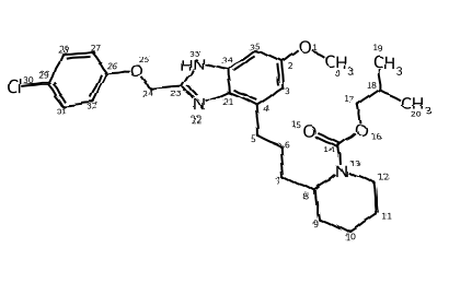 COc1cc(CCCC2CCCCN2C(=O)OCC(C)C)c2nc(COc3ccc(Cl)cc3)[nH]c2c1